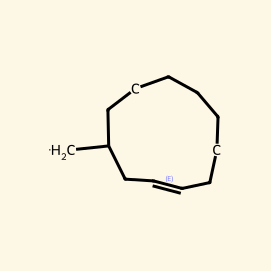 [CH2]C1C/C=C/CCCCCCC1